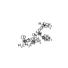 C=Cc1nn(C2CCCCO2)c2cnc(-c3c(C)nn(C)c3OC(C)[C@H]3CCCN3Cc3c(I)c(OCOCC[Si](C)(C)C)nn3CCO[Si](C)(C)C(C)(C)C)cc12